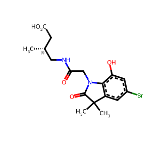 C[C@@H](CNC(=O)CN1C(=O)C(C)(C)c2cc(Br)cc(O)c21)CC(=O)O